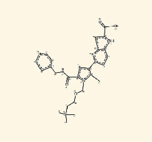 Cc1c(-c2ccc3[nH]c(C(=O)O)cc3n2)nc(C(=O)NCc2ccncc2)n1COCC[Si](C)(C)C